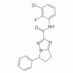 O=C(Nc1cccc(Cl)c1F)c1nc2n(n1)C(c1ccccc1)CC2